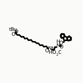 CC(C)(C)OC(=O)CCCCCCCCCCCCCCCCC(=O)NC(CCCNC(=O)OCC1c2ccccc2-c2ccccc21)C(=O)O